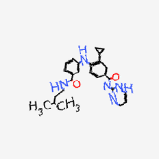 CC(C)CCNC(=O)c1cccc(Nc2ccc(C(=O)N=c3nccc[nH]3)cc2C2CC2)c1